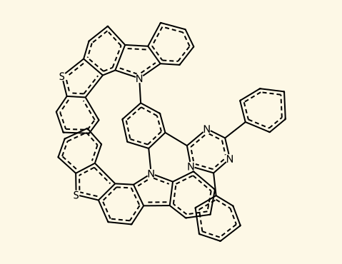 c1ccc(-c2nc(-c3ccccc3)nc(-c3cc(-n4c5ccccc5c5ccc6sc7ccccc7c6c54)ccc3-n3c4ccccc4c4ccc5sc6ccccc6c5c43)n2)cc1